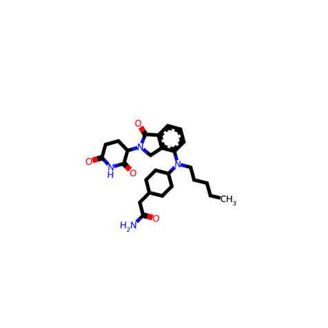 CCCCCN(c1cccc2c1CN(C1CCC(=O)NC1=O)C2=O)C1CCC(CC(N)=O)CC1